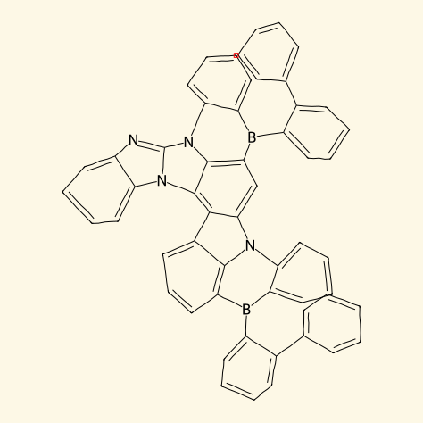 c1ccc(-c2ccccc2B2c3ccccc3-n3c4cc5c6c(c4c4cccc2c43)n2c3ccccc3nc2n6-c2ccccc2B5c2ccccc2-c2ccccc2)cc1